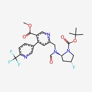 COC(=O)c1cnc(CN(C=O)[C@@H]2C[C@@H](F)CN2C(=O)OC(C)(C)C)cc1-c1ccc(C(F)(F)F)nc1